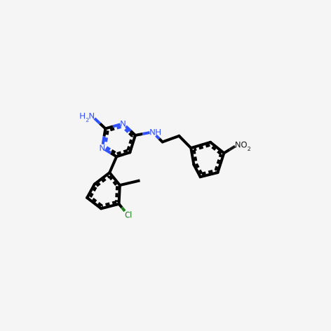 Cc1c(Cl)cccc1-c1cc(NCCc2cccc([N+](=O)[O-])c2)nc(N)n1